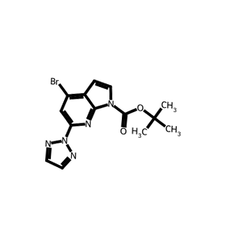 CC(C)(C)OC(=O)n1ccc2c(Br)cc(-n3nccn3)nc21